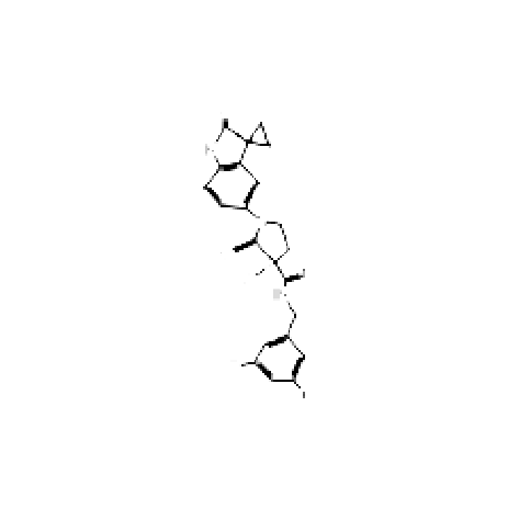 O=C1Nc2ccc(N3CC[C@](O)(C(=O)NCc4cc(F)cc(Cl)c4)C3=O)cc2C12CC2